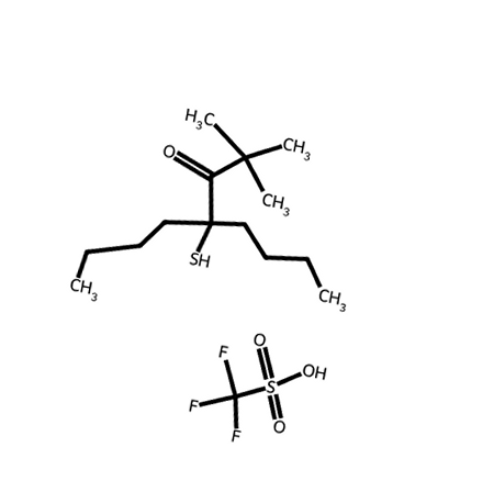 CCCCC(S)(CCCC)C(=O)C(C)(C)C.O=S(=O)(O)C(F)(F)F